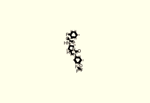 O=C1N(c2ccc(OC(F)(F)F)cc2)C[C@@H]2C[C@H](NS(=O)(=O)c3ccccc3F)CN12